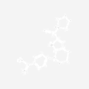 N=C(N)c1ccc(N2CCCc3cc(C(=O)N4CCCC4)[nH]c32)cc1